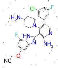 N#CCOc1cc(F)c2[nH]c(-c3c(N)ncc(-c4cc(F)cc(Cl)c4)c3N3CCC(N)CC3)nc2c1